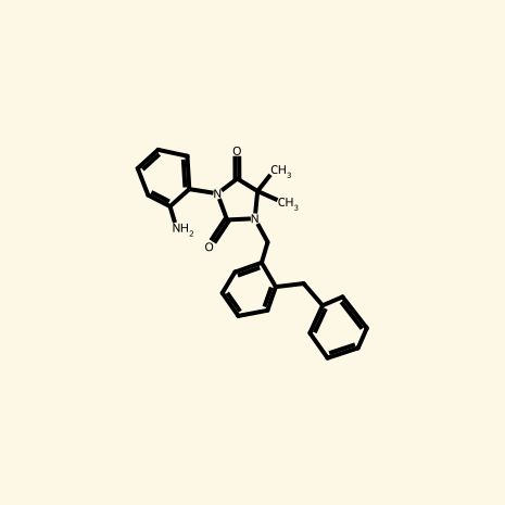 CC1(C)C(=O)N(c2ccccc2N)C(=O)N1Cc1ccccc1Cc1ccccc1